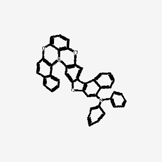 c1ccc(N(c2ccccc2)c2cc3oc4cc5c(cc4c3c3ccccc23)Oc2cccc3c2B5c2c(ccc4ccccc24)O3)cc1